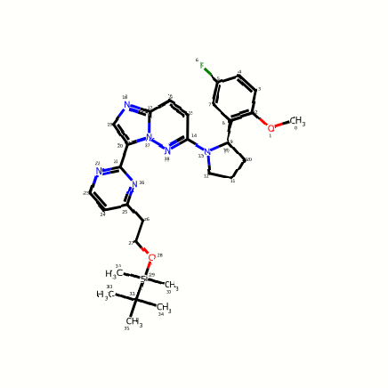 COc1ccc(F)cc1[C@H]1CCCN1c1ccc2ncc(-c3nccc(CCO[Si](C)(C)C(C)(C)C)n3)n2n1